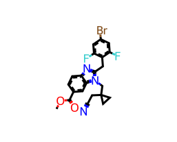 COC(=O)c1ccc2nc(Cc3c(F)cc(Br)cc3F)n(CC3(CC#N)CC3)c2c1